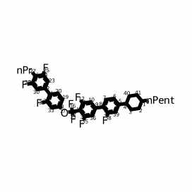 CCCCCC1CCC(c2ccc(-c3cc(F)c(C(F)(F)Oc4ccc(-c5cc(F)c(CCC)c(F)c5)c(F)c4)c(F)c3)c(F)c2)CC1